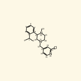 CC(C)c1ccccc1C1CN(Cc2ccnc(Cl)c2)CCN1C